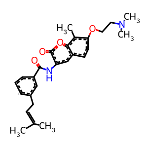 CC(C)=CCc1[c]ccc(C(=O)Nc2cc3ccc(OCCN(C)C)c(C)c3oc2=O)c1